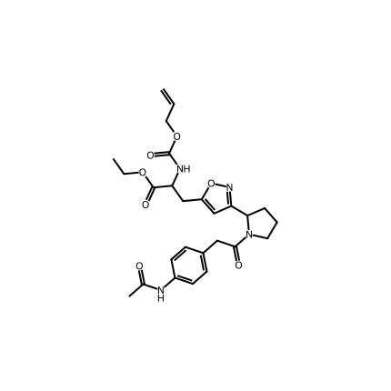 C=CCOC(=O)NC(Cc1cc(C2CCCN2C(=O)Cc2ccc(NC(C)=O)cc2)no1)C(=O)OCC